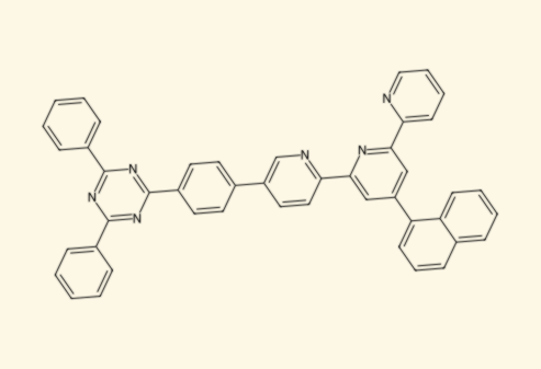 c1ccc(-c2nc(-c3ccccc3)nc(-c3ccc(-c4ccc(-c5cc(-c6cccc7ccccc67)cc(-c6ccccn6)n5)nc4)cc3)n2)cc1